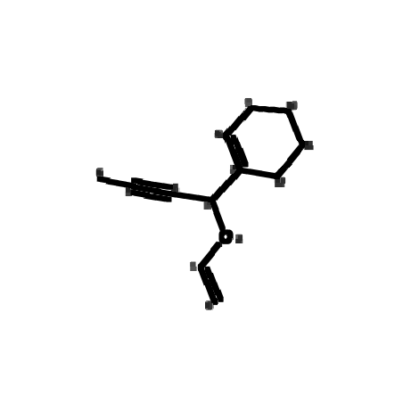 C=COC(C#CC)C1=CCCCC1